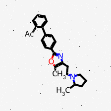 CC(=O)c1ccccc1-c1ccc(-c2nc(CCN3CCCC3C)c(C)o2)cc1